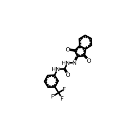 O=C(NN=c1c(=O)c2ccccc2c1=O)Nc1cccc(C(F)(F)F)c1